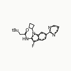 CC(C)(C)CC(=O)Nc1c(F)c2ccc(-c3ncccn3)cc2n1C1CCC1